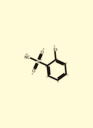 CCc1ccccc1S(=O)(=O)C#N